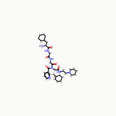 N[C@@H](CC1CCCCC1)C(=O)NCC(=O)NCC(=O)N(C(=O)c1cccnc1)[C@@H](CC1CCCCC1)C(=O)NCCN1CCCCC1